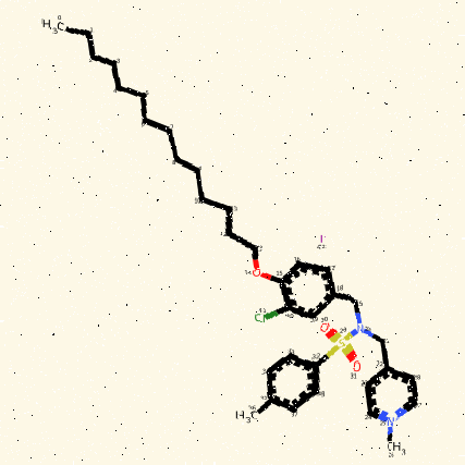 CCCCCCCCCCCCCCOc1ccc(CN(Cc2cc[n+](C)cc2)S(=O)(=O)c2ccc(C)cc2)cc1Cl.[I-]